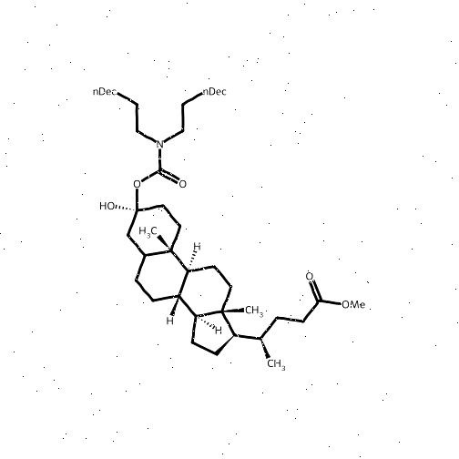 CCCCCCCCCCCCN(CCCCCCCCCCCC)C(=O)O[C@@]1(O)CC[C@@]2(C)C(CC[C@H]3[C@@H]4CC[C@H]([C@H](C)CCC(=O)OC)[C@@]4(C)CC[C@@H]32)C1